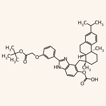 CC(C)c1ccc2c(c1)CC[C@H]1[C@@](C)(Cc3c(OC(=O)O)ccc4[nH]c(-c5cccc(OCC(=O)OC(C)(C)C)c5)nc34)CCC[C@]21C